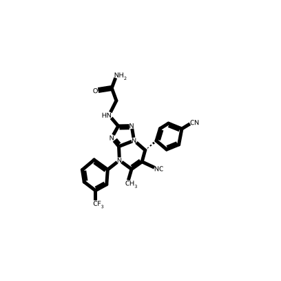 [C-]#[N+]C1=C(C)N(c2cccc(C(F)(F)F)c2)c2nc(NCC(N)=O)nn2[C@@H]1c1ccc(C#N)cc1